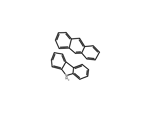 c1ccc2c(c1)[SiH2]c1ccccc1-2.c1ccc2cc3ccccc3cc2c1